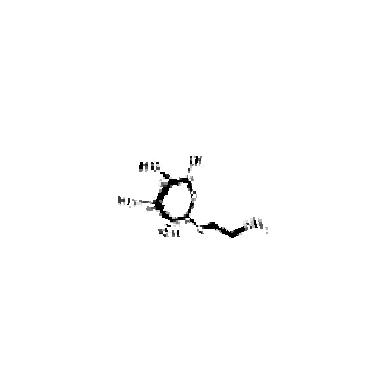 C[C@@H]1O[C@@H](OCCN)[C@H](O)[C@H](O)[C@H]1O